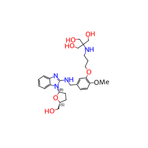 COc1ccc(CNc2nc3ccccc3n2[C@H]2CC[C@@H](CO)O2)cc1OCCCNC(CO)(CO)CO